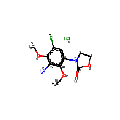 COc1c(Cl)cc(N2CCOC2=O)c(OC)c1N.Cl